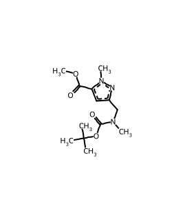 COC(=O)c1cc(CN(C)C(=O)OC(C)(C)C)nn1C